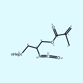 C=C(C)C(=O)OCC(CCCCCCCC)N=C=O